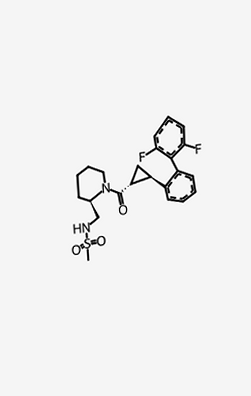 CS(=O)(=O)NC[C@H]1CCCCN1C(=O)[C@@H]1C[C@H]1c1ccccc1-c1c(F)cccc1F